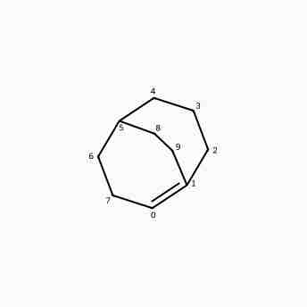 C1=C2CCCC(CC1)CC2